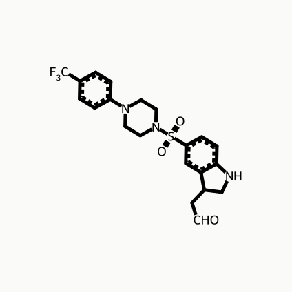 O=CCC1CNc2ccc(S(=O)(=O)N3CCN(c4ccc(C(F)(F)F)cc4)CC3)cc21